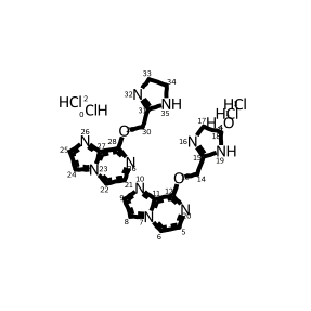 Cl.Cl.Cl.Cl.O.c1cn2ccnc2c(OCC2=NCCN2)n1.c1cn2ccnc2c(OCC2=NCCN2)n1